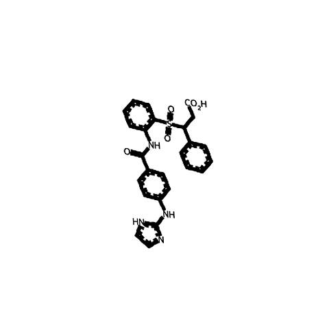 O=C(O)CC(c1ccccc1)S(=O)(=O)c1ccccc1NC(=O)c1ccc(Nc2ncc[nH]2)cc1